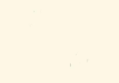 O=C(O)c1cccc(-c2cccc(OC(F)(F)F)c2)c1